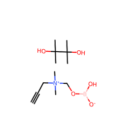 C#CC[N+](C)(C)COB([O-])O.CC(C)(O)C(C)(C)O